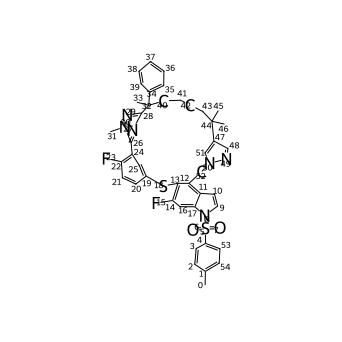 Cc1ccc(S(=O)(=O)n2ccc3c4c(c(F)cc32)Sc2ccc(F)c(c2)-c2nc(nn2C)C(C)(c2ccccc2)CCCCC(C)(C)c2cnn(c2)C4)cc1